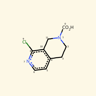 O=C(O)N1CCc2ccnc(Cl)c2C1